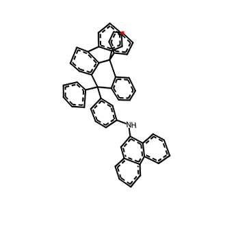 c1ccc(C2(c3cccc(Nc4cc5ccccc5c5ccccc45)c3)c3ccccc3C3(c4ccccc4)c4ccccc4-c4cccc2c43)cc1